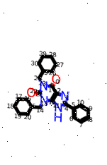 O=c1c2nc(-c3cc[c]cc3)[nH]c2n(CC2CCCCC2)c(=O)n1CC1CCCCC1